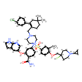 CC1(C)CCC(CN2CC[N+](c3ccc(C(N)=O)c(Oc4cnc5[nH]ccc5c4)c3)(S(=O)(=O)c3ccc(OCC4(F)CCN(C5CC5)CC4)c([N+](=O)[O-])c3)CC2)=C(c2ccc(Cl)cc2)C1